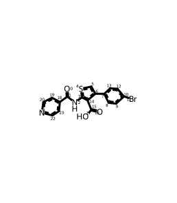 O=C(Nc1scc(-c2ccc(Br)cc2)c1C(=O)O)c1ccncc1